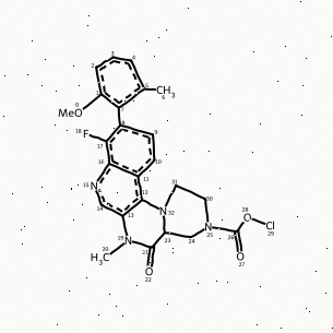 COc1cccc(C)c1-c1ccc2c3c(cnc2c1F)N(C)C(=O)C1CN(C(=O)OCl)CCN31